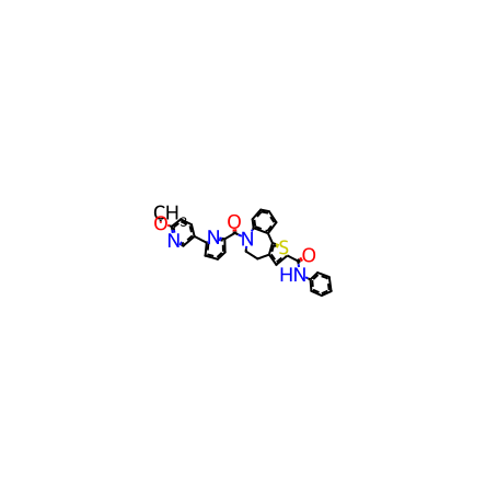 COc1ccc(-c2cccc(C(=O)N3CCc4cc(C(=O)Nc5ccccc5)sc4-c4ccccc43)n2)cn1